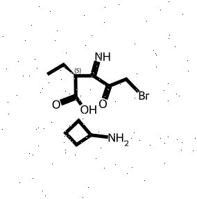 CC[C@@H](C(=N)C(=O)CBr)C(=O)O.NC1CCC1